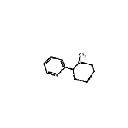 CN1CCCCC1c1ccccn1